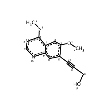 COc1cc2c(SC)ncnc2cc1C#CCO